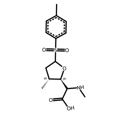 CNC(C(=O)O)[C@@H]1OC(S(=O)(=O)c2ccc(C)cc2)C[C@H]1C